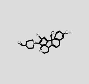 O=CC1CCN(c2ccc(C3(C=O)C(C4CCOCC4)=CCc4cc(O)ccc43)cc2F)CC1